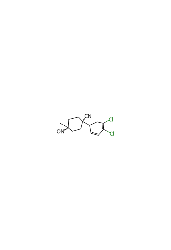 C[C@]1(N=O)CC[C@](C#N)(C2C=CC(Cl)=C(Cl)C2)CC1